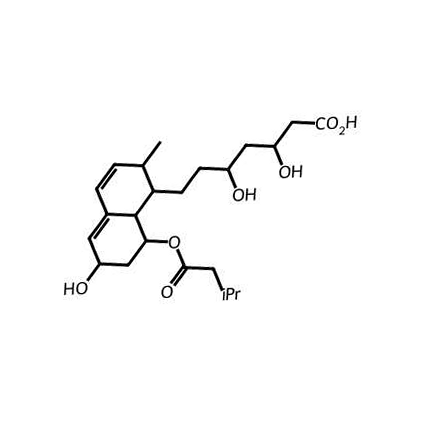 CC(C)CC(=O)OC1CC(O)C=C2C=CC(C)C(CCC(O)CC(O)CC(=O)O)C21